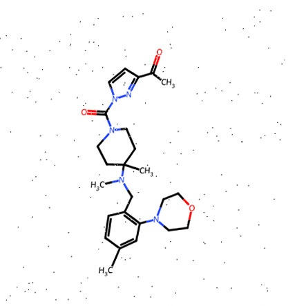 CC(=O)c1ccn(C(=O)N2CCC(C)(N(C)Cc3ccc(C)cc3N3CCOCC3)CC2)n1